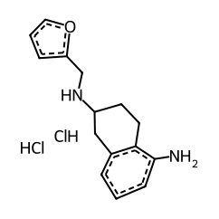 Cl.Cl.Nc1cccc2c1CCC(NCc1ccco1)C2